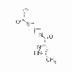 Cc1cc(C(=O)N2CC3(C2)CN(C(=O)C2CC2)C3)n[nH]1